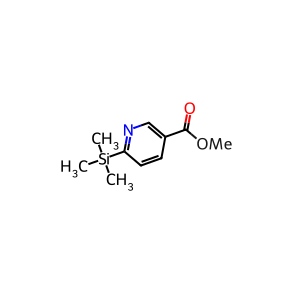 COC(=O)c1ccc([Si](C)(C)C)nc1